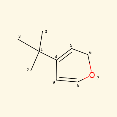 CC(C)(C)C1=CCOC=C1